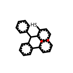 Sc1ccccc1C(c1ccccc1)c1ccccc1-c1ccccc1